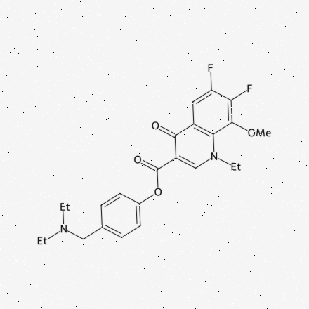 CCN(CC)Cc1ccc(OC(=O)c2cn(CC)c3c(OC)c(F)c(F)cc3c2=O)cc1